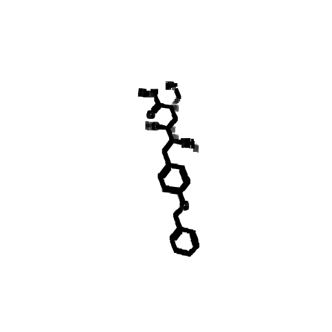 CNC(=O)[C@H](CC(C)C)C[C@H](O)[C@@H](N)Cc1ccc(OCc2ccccc2)cc1